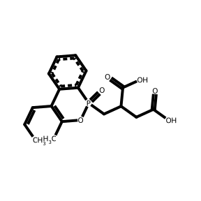 C/C=C\C1=C(C)OP(=O)(CC(CC(=O)O)C(=O)O)c2ccccc21